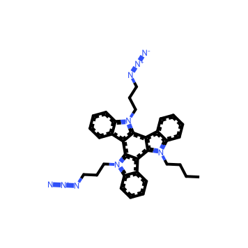 CCCCn1c2ccccc2c2c1c1c3ccccc3n(CCCN=[N+]=[N-])c1c1c3ccccc3n(CCCN=[N+]=[N-])c21